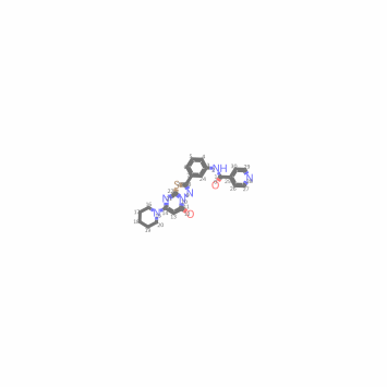 O=C(Nc1cccc(-c2nn3c(=O)cc(N4CCCCC4)nc3s2)c1)c1ccncc1